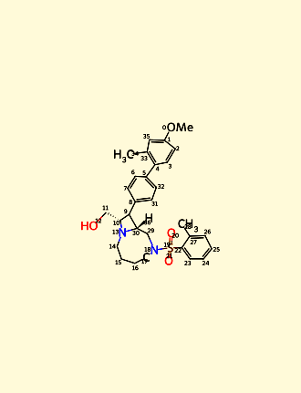 COc1ccc(-c2ccc(C3[C@@H](CO)N4CCCCN(S(=O)(=O)c5ccccc5C)C[C@@H]34)cc2)c(C)c1